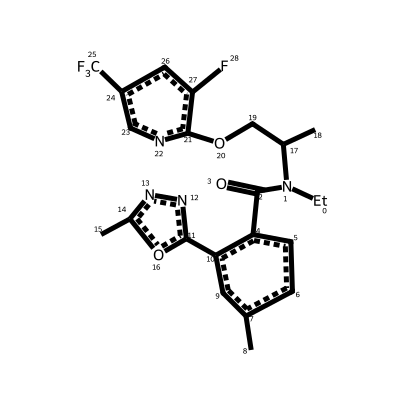 CCN(C(=O)c1ccc(C)cc1-c1nnc(C)o1)C(C)COc1ncc(C(F)(F)F)cc1F